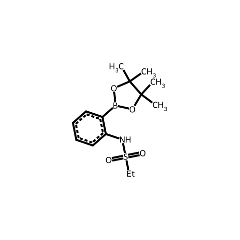 CCS(=O)(=O)Nc1ccccc1B1OC(C)(C)C(C)(C)O1